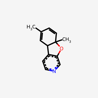 CC1=CC2c3ccncc3OC2(C)C=C1